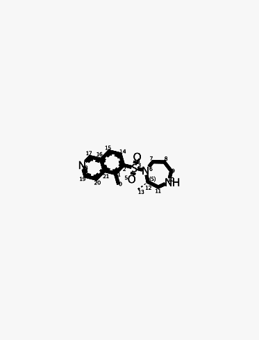 Cc1c(S(=O)(=O)N2CCCNC[C@@H]2C)ccc2cnccc12